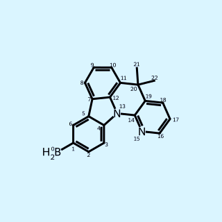 Bc1ccc2c(c1)c1cccc3c1n2-c1ncccc1C3(C)C